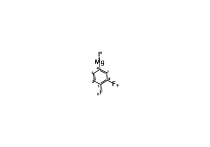 Fc1cc[c]([Mg][I])cc1F